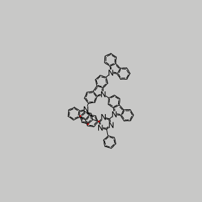 c1ccc(-c2nc(-c3ccccc3)nc(-n3c4ccccc4c4ccc(-n5c6cc(-n7c8ccccc8c8ccccc87)ccc6c6ccc(-n7c8ccccc8c8ccccc87)cc65)cc43)n2)cc1